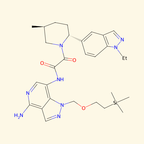 CCn1ncc2cc([C@H]3CC[C@H](C)CN3C(=O)C(=O)Nc3cnc(N)c4cnn(COCC[Si](C)(C)C)c34)ccc21